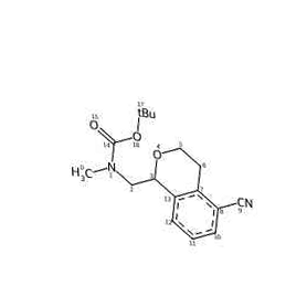 CN(CC1OCCc2c(C#N)cccc21)C(=O)OC(C)(C)C